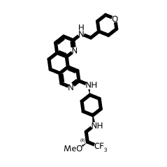 CO[C@H](CN[C@H]1CC[C@H](Nc2cc3c(cn2)CCc2ccc(NCC4CCOCC4)nc2-3)CC1)C(F)(F)F